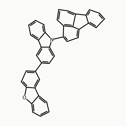 c1ccc2c(c1)-c1cccc3c(-n4c5ccccc5c5cc(-c6ccc7oc8ccccc8c7c6)ccc54)ccc-2c13